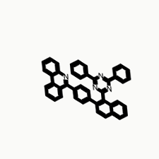 c1ccc(-c2nc(-c3ccccc3)nc(-c3c(-c4ccc(-c5nc6ccccc6c6ccccc56)cc4)ccc4ccccc34)n2)cc1